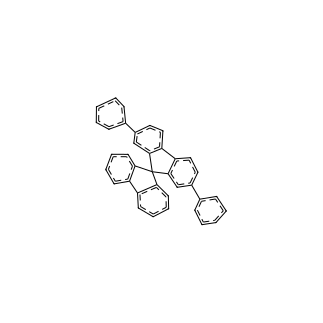 c1ccc(-c2ccc3c(c2)C2(c4ccccc4-c4ccccc42)c2cc(-c4ccccc4)ccc2-3)cc1